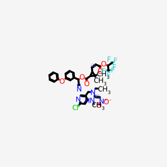 CC1(C)C(/C=C\C(=O)OC(C(F)(F)F)C(F)(F)F)C1C(=O)OC(C#N)c1cccc(Oc2ccccc2)c1.CCN(Cc1ccc(Cl)nc1)/C(=C/[N+](=O)[O-])NC